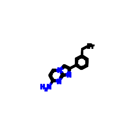 CC(C)Cc1cccc(-c2cn3ccc(N)nc3n2)c1